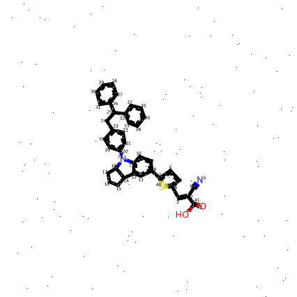 N#C/C(=C\c1ccc(-c2ccc3c(c2)C2CCCC2N3c2ccc(CC(c3ccccc3)c3ccccc3)cc2)s1)C(=O)O